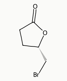 O=C1CC[C@@H](CBr)O1